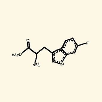 COC(=O)C(N)Cc1c[nH]c2cc(F)ccc12